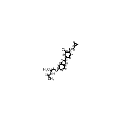 CC(=O)N[C@@H](C)COc1cc2oc(-c3ccc(OCC4CC4)c(Cl)n3)nc2cn1